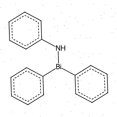 c1ccc([NH][Bi]([c]2ccccc2)[c]2ccccc2)cc1